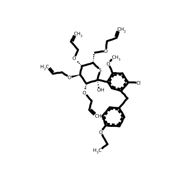 C=CCOC[C@@H]1S[C@@](O)(c2cc(Cc3ccc(OCC)cc3)c(Cl)cc2OC)[C@H](OCC=C)[C@@H](OCC=C)[C@@H]1OCC=C